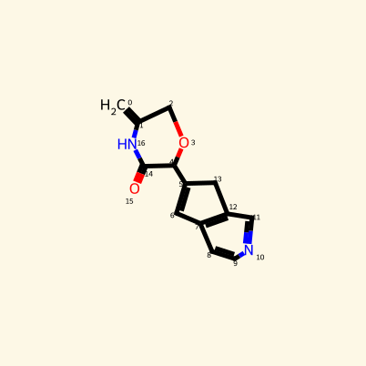 C=C1COC(C2=Cc3ccncc3C2)C(=O)N1